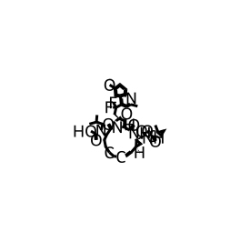 COc1ccc2nc(C)c3c(c2c1)C(F)(F)C[C@]1(C[C@H]2C(=O)N[C@]4(C(=O)NS(=O)(=O)C5(C)CC5)C[C@H]4/C=C\CCCCC[C@H](N(CC(C)C)C(=O)O)C(=O)N2C1)O3